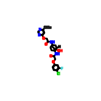 COc1cc(OCC(=O)NC23CCC(NC(=O)COc4ccc(Cl)c(F)c4)(CC2)[C@@H](O)C3)ncn1